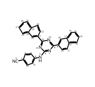 N#Cc1ccc(Nc2nc(-c3ccc4ccccc4c3)nc(-c3ccc4ccccc4c3)n2)cc1